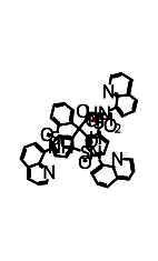 NC(=O)C(c1ccccc1S(=O)(=O)Nc1cccc2cccnc12)(c1ccccc1S(=O)(=O)Nc1cccc2cccnc12)c1ccccc1S(=O)(=O)Nc1cccc2cccnc12